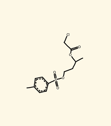 Cc1ccc(S(=O)(=O)OCCC(C)OC(=O)CCl)cc1